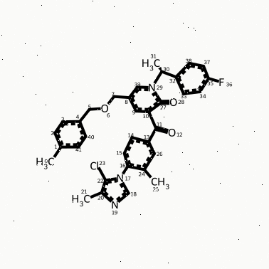 Cc1ccc(COCc2cc(C(=O)c3ccc(-n4cnc(C)c4Cl)c(C)c3)c(=O)n([C@@H](C)c3ccc(F)cc3)c2)cc1